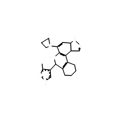 FC(F)(F)c1n[nH]cc1C1NC2=C(C3=C1CCCC3)C1C=NNC1C=C2N1CCC1